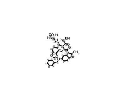 Cc1[nH]c2ccc(OCc3ccccc3)cc2c1C(=O)N(Cc1cccc2c1OCO2)C(CCCCNC(=O)O)C(=O)N(C)C#N